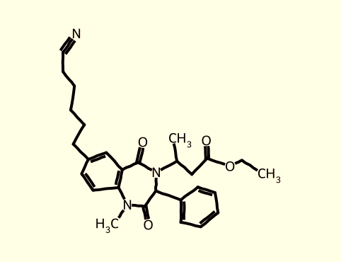 CCOC(=O)CC(C)N1C(=O)c2cc(CCCCCC#N)ccc2N(C)C(=O)C1c1ccccc1